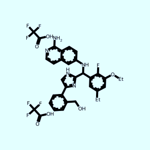 CCOc1cc(CC)cc(C(Nc2ccc3c(N)nccc3c2)c2nc(-c3ccccc3CO)c[nH]2)c1F.O=C(O)C(F)(F)F.O=C(O)C(F)(F)F